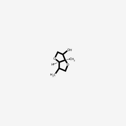 CC1CO[C@]2(C)C(O)CO[C@H]12